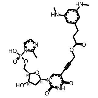 CNc1cc(CCC(=O)OCC#Cc2cn([C@H]3C[C@@H](O)[C@@H](COP(=O)(O)n4ccnc4C)O3)c(=O)[nH]c2=O)cc(NC)c1